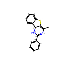 CC1=C2Sc3ccccc3C2NC(c2ccccc2)=N1